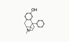 CN1CCC2(c3ccccc3)c3cc(O)ccc3CC1C2(C)C